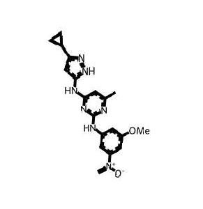 C=[N+]([O-])c1cc(Nc2nc(C)cc(Nc3cc(C4CC4)n[nH]3)n2)cc(OC)c1